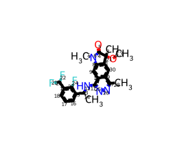 COC1(C)C(=O)N(C)c2cc3c(N[C@H](C)c4cccc(C(F)F)c4F)nnc(C)c3cc21